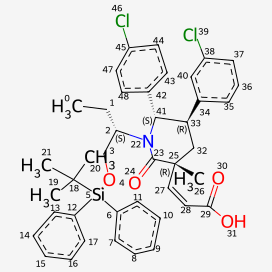 CC[C@@H](CO[Si](c1ccccc1)(c1ccccc1)C(C)(C)C)N1C(=O)[C@@](C)(C=CC(=O)O)C[C@H](c2cccc(Cl)c2)[C@H]1c1ccc(Cl)cc1